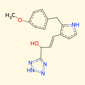 COc1ccc(Cc2[nH]ccc2C=CC(O)c2nn[nH]n2)cc1